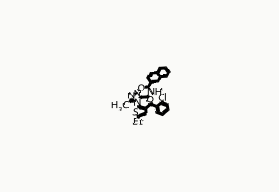 CCc1cc(C(=O)c2ccccc2Cl)c(-n2c(C)nnc2CNC(=O)c2ccc3ccccc3c2)s1